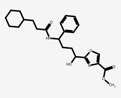 COC(=O)c1coc(C(O)CCC(NC(=O)CCC2CCCCC2)c2ccccc2)n1